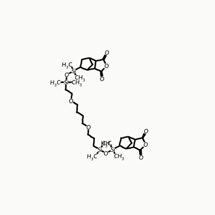 C[Si](C)(CCCOCCCCOCC[Si](C)(C)O[Si](C)(C)C1CC2CC1C1C(=O)OC(=O)C21)O[Si](C)(C)C1CC2CC1C1C(=O)OC(=O)C21